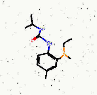 CCP(C)c1cc(C)ccc1NC(=O)NC(C)C